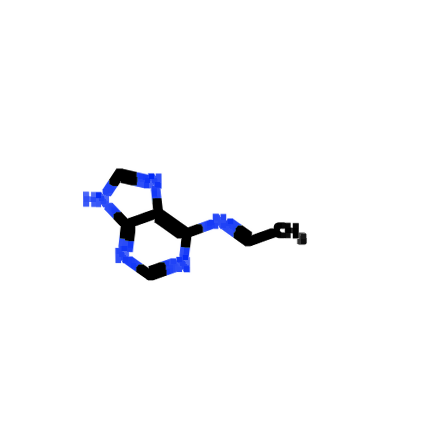 CC=Nc1ncnc2[nH]cnc12